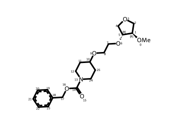 CO[C@@H]1COC[C@H]1OCCOC1CCN(C(=O)OCc2ccccc2)CC1